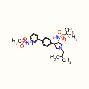 CC(C)CN1C[C@@H](NS(=O)(=O)C(C)C)[C@H](c2ccc(-c3cccc(NS(C)(=O)=O)c3)cc2)C1